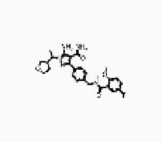 COc1ccc(F)cc1C(=O)NCc1ccc(-c2nn(C(C)C3CCOC3)c(N)c2C(N)=O)cc1